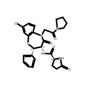 O=C1CC[C@@H](C(=O)N[C@H]2C(=O)N(CC(=O)N3CCCC3)c3ccc(Cl)cc3S[C@H]2c2ccccc2)N1